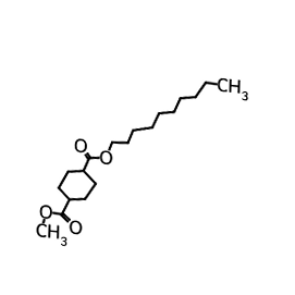 CCCCCCCCCCOC(=O)C1CCC(C(=O)OC)CC1